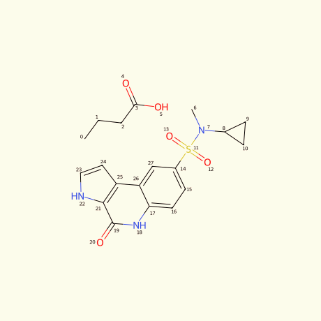 CCCC(=O)O.CN(C1CC1)S(=O)(=O)c1ccc2[nH]c(=O)c3[nH]ccc3c2c1